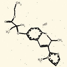 CCOC(=O)C(C)(C)Oc1ccc2c(c1)C=C(c1nccn1C)C(C)O2.Cl